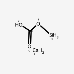 O=C(O)O[SiH3].[CaH2]